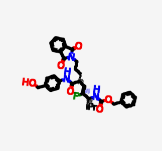 CC(C)[C@H](NC(=O)OCc1ccccc1)/C(F)=C/[C@@H](CCCN1C(=O)c2ccccc2C1=O)C(=O)Nc1ccc(CO)cc1